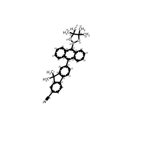 CC1(C)c2cc(C#N)ccc2-c2ccc(-c3c4ccccc4c(B4OC(C)(C)C(C)(C)O4)c4ccccc34)cc21